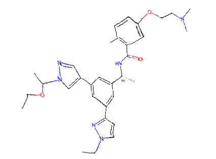 CCOC(C)n1cc(-c2cc(-c3ccn(CC)n3)cc([C@@H](C)NC(=O)c3cc(OCCN(C)C)ccc3C)c2)cn1